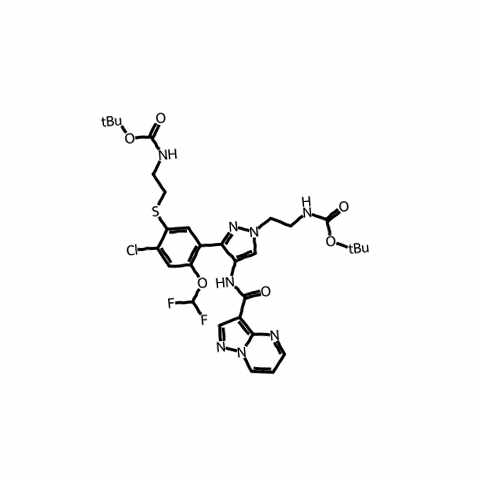 CC(C)(C)OC(=O)NCCSc1cc(-c2nn(CCNC(=O)OC(C)(C)C)cc2NC(=O)c2cnn3cccnc23)c(OC(F)F)cc1Cl